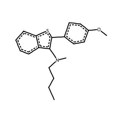 CCCCN(C)c1c(-c2ccc(OC)cc2)sc2ccccc12